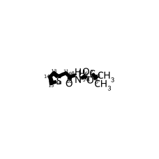 CC(C)(C)OC(=O)NCC(=O)Cc1cccs1